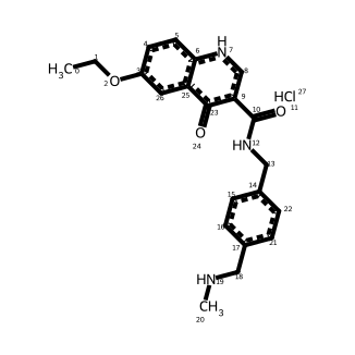 CCOc1ccc2[nH]cc(C(=O)NCc3ccc(CNC)cc3)c(=O)c2c1.Cl